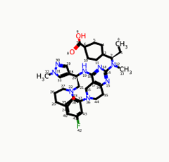 CC[C@H](C1CCC(C(=O)O)CC1)N(C)c1nc2c(c(N[C@@H](CN3CCCCC3)c3cnn(C)c3)n1)CN(c1cccc(F)c1)CC2